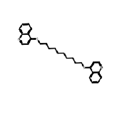 c1ccc2c(SCCCCCCCCCCSc3ccnc4ccccc34)ccnc2c1